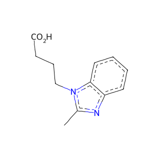 Cc1nc2ccccc2n1CCCC(=O)O